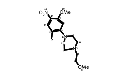 COCCN1CCN(c2cc(OC)c([N+](=O)[O-])cc2C)CC1